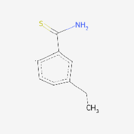 CCc1cc[c]c(C(N)=S)c1